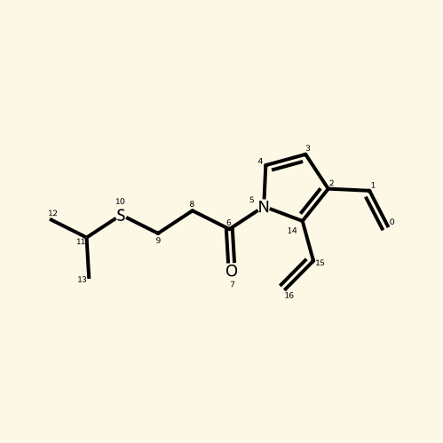 C=Cc1ccn(C(=O)CCSC(C)C)c1C=C